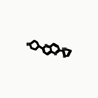 c1c[nH]c(-c2ccc3nc(C4CCNCC4)ccc3n2)n1